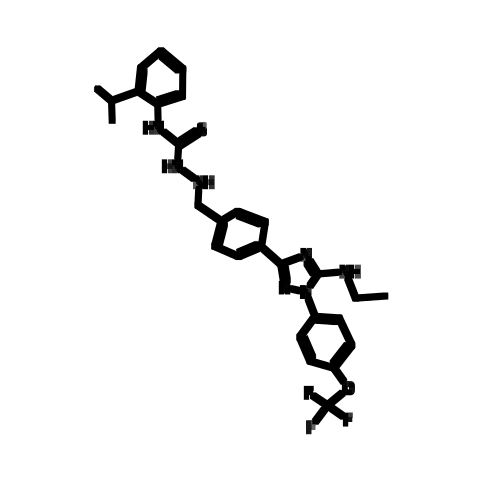 CCNc1nc(-c2ccc(CNNC(=S)Nc3ccccc3C(C)C)cc2)nn1-c1ccc(OC(F)(F)F)cc1